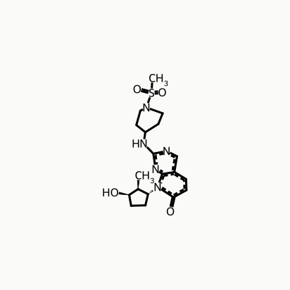 C[C@@H]1[C@H](O)CC[C@H]1n1c(=O)ccc2cnc(NC3CCN(S(C)(=O)=O)CC3)nc21